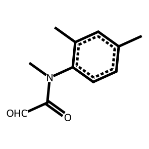 Cc1ccc(N(C)C(=O)C=O)c(C)c1